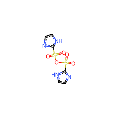 O=S(=O)(OS(=O)(=O)c1ncc[nH]1)c1ncc[nH]1